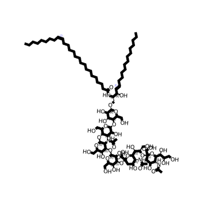 CCCCCCCC/C=C\CCCCCCCCCCCCCCCC(=O)N[C@@H](CO[C@@H]1OC(CO)[C@@H](O[C@@H]2OC(CO)[C@H](O[C@@H]3OC(CO)[C@H](O)[C@H](O[C@@H]4OC(CO)[C@H](O)[C@H](O[C@]5(C(=O)O)CC(O)[C@@H](NC(C)=O)C([C@H](O)[C@@H](CO)O[C@]6(C(=O)O)CC(O)[C@@H](NC(C)=O)C([C@H](O)[C@H](O)CO)O6)O5)C4O)C3NC(C)=O)[C@H](O)C2O)[C@H](O)C1O)[C@H](O)/C=C/CCCCCCCCCCCCC